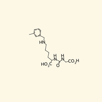 Cc1cccc(CNCCCCC(NC(=O)NCC(=O)O)C(=O)O)c1